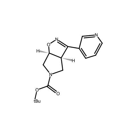 CC(C)(C)OC(=O)N1C[C@@H]2C(c3cccnc3)=NO[C@@H]2C1